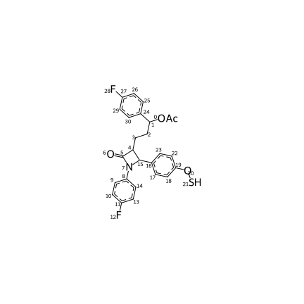 CC(=O)OC(CCC1C(=O)N(c2ccc(F)cc2)C1c1ccc(OS)cc1)c1ccc(F)cc1